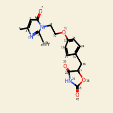 CCCc1nc(C)cc(=O)n1CCOc1ccc(CC2OC(=O)NC2=O)cc1